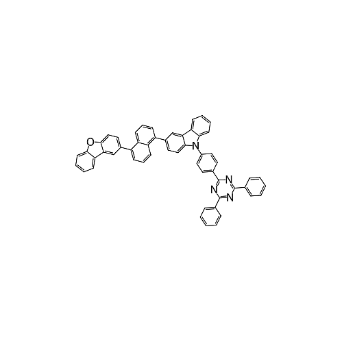 c1ccc(-c2nc(-c3ccccc3)nc(-c3ccc(-n4c5ccccc5c5cc(-c6cccc7c(-c8ccc9oc%10ccccc%10c9c8)cccc67)ccc54)cc3)n2)cc1